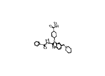 CCNC(=O)C1CCC(n2c(NC(=O)c3ccccc3)nc3ccc(CN4CCCCC4)cc32)CC1